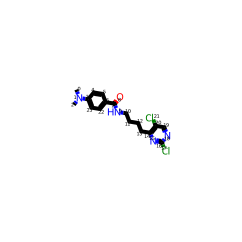 CN(C)c1ccc(C(=O)NCCCCc2nc(Cl)ncc2Cl)cc1